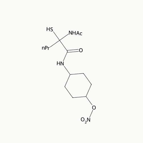 CCCC(S)(NC(C)=O)C(=O)NC1CCC(O[N+](=O)[O-])CC1